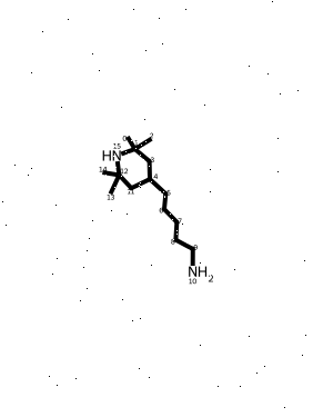 CC1(C)CC(CCCCCN)CC(C)(C)N1